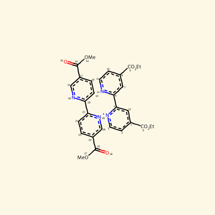 CCOC(=O)c1ccnc(-c2cc(C(=O)OCC)ccn2)c1.COC(=O)c1ccc(-c2ccc(C(=O)OC)cn2)nc1